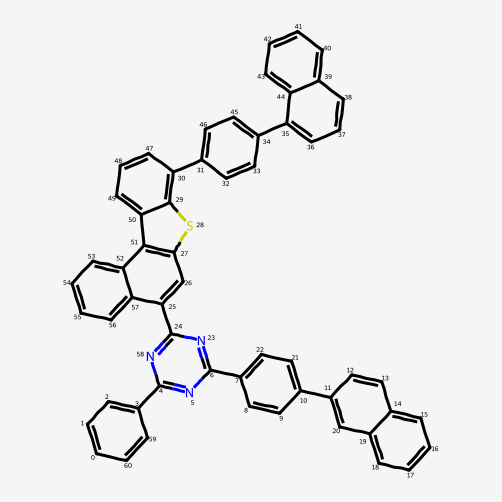 c1ccc(-c2nc(-c3ccc(-c4ccc5ccccc5c4)cc3)nc(-c3cc4sc5c(-c6ccc(-c7cccc8ccccc78)cc6)cccc5c4c4ccccc34)n2)cc1